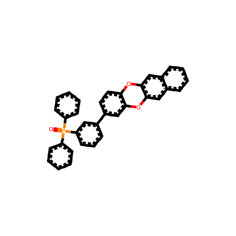 O=P(c1ccccc1)(c1ccccc1)c1cccc(-c2ccc3c(c2)Oc2cc4ccccc4cc2O3)c1